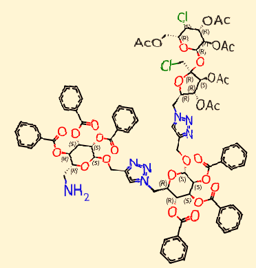 CC(=O)OC[C@H]1O[C@H](O[C@]2(CCl)O[C@H](Cn3cc(CO[C@H]4O[C@H](Cn5cc(CO[C@H]6O[C@H](CN)[C@@H](OC(=O)c7ccccc7)[C@H](OC(=O)c7ccccc7)[C@@H]6OC(=O)c6ccccc6)nn5)[C@@H](OC(=O)c5ccccc5)[C@H](OC(=O)c5ccccc5)[C@@H]4OC(=O)c4ccccc4)nn3)[C@@H](OC(C)=O)[C@@H]2OC(C)=O)[C@H](OC(C)=O)[C@@H](OC(C)=O)[C@H]1Cl